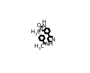 C[C@H](Nc1cncc(-c2ccc3[nH]c(=O)n(C)c3c2)c1)c1ccccc1